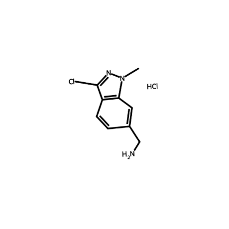 Cl.Cn1nc(Cl)c2ccc(CN)cc21